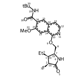 CC[C@@H]1[C@H](F)C(=O)N[C@@H]1COc1nccc2cc(C(=O)NC(C)(C)C)c(OC)cc12